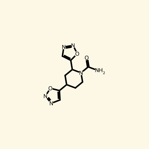 NC(=O)N1CCC(c2cnno2)CC1c1cnno1